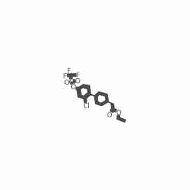 CCOC(=O)C[C@H]1CC[C@@H](c2ccc(OS(=O)(=O)C(F)(F)F)cc2Cl)CC1